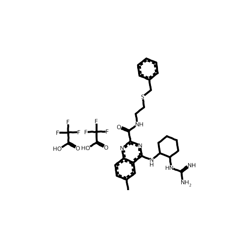 Cc1ccc2nc(C(=O)NCCSCc3ccccc3)nc(NC3CCCCC3NC(=N)N)c2c1.O=C(O)C(F)(F)F.O=C(O)C(F)(F)F